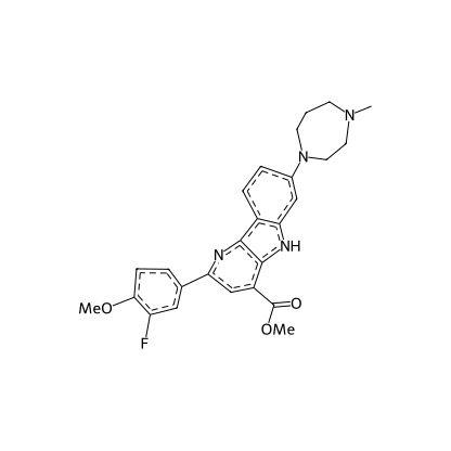 COC(=O)c1cc(-c2ccc(OC)c(F)c2)nc2c1[nH]c1cc(N3CCCN(C)CC3)ccc12